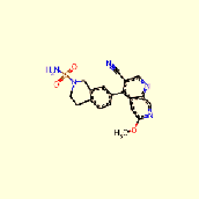 COc1cc2c(-c3ccc4c(c3)CN(S(N)(=O)=O)CC4)c(C#N)cnc2cn1